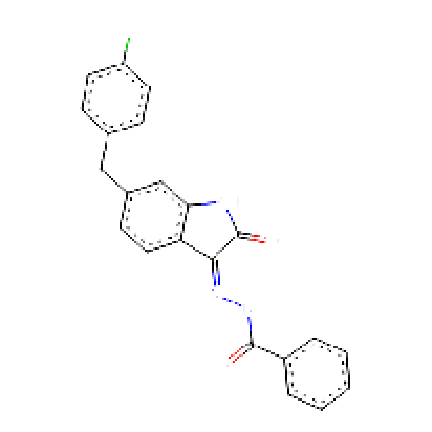 O=C1Nc2cc(Cc3ccc(Cl)cc3)ccc2/C1=N/NC(=O)c1ccccc1